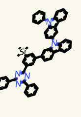 C[Si](C)(C)c1cc(-c2ccc3c4ccccc4n(-c4ccc5c(c4)c4ccccc4n5-c4ccccc4)c3c2)cc(-c2nc(-c3ccccc3)nc(-c3ccccc3)n2)c1